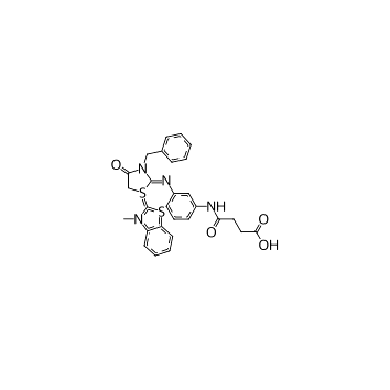 Cn1c(=S2CC(=O)N(Cc3ccccc3)C2=Nc2cccc(NC(=O)CCC(=O)O)c2)sc2ccccc21